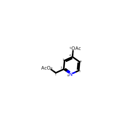 CC(=O)OCc1cc(OC(C)=O)ccn1